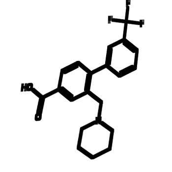 O=C(O)c1ccc(-c2cccc(C(F)(F)F)c2)c(CN2CCCCC2)c1